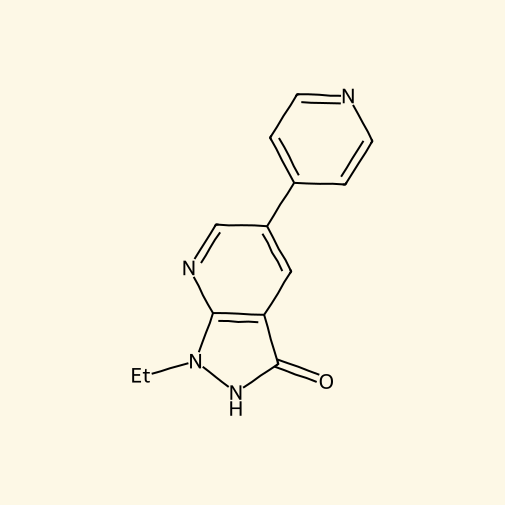 CCn1[nH]c(=O)c2cc(-c3ccncc3)cnc21